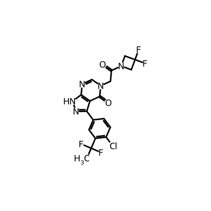 CC(F)(F)c1cc(-c2n[nH]c3ncn(CC(=O)N4CC(F)(F)C4)c(=O)c23)ccc1Cl